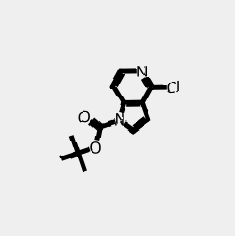 CC(C)(C)OC(=O)n1ccc2c(Cl)nccc21